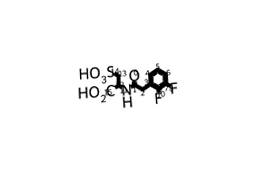 O=C(Cc1cccc(F)c1F)NC(CS(=O)(=O)O)C(=O)O